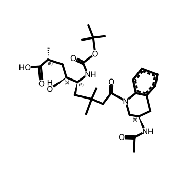 CC(=O)N[C@@H]1Cc2ccccc2N(C(=O)CC(C)(C)C[C@H](NC(=O)OC(C)(C)C)[C@@H](O)C[C@@H](C)C(=O)O)C1